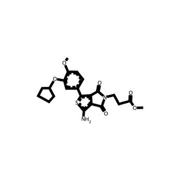 COC(=O)CCN1C(=O)c2c(N)sc(-c3ccc(OC)c(OC4CCCC4)c3)c2C1=O